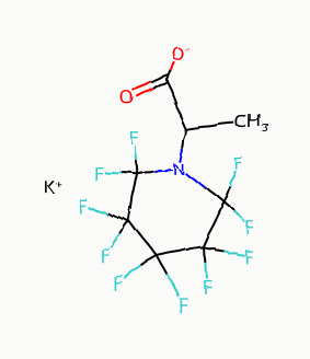 CC(C(=O)[O-])N1C(F)(F)C(F)(F)C(F)(F)C(F)(F)C1(F)F.[K+]